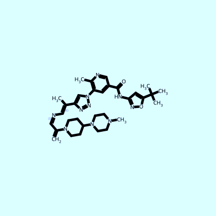 C=C(/C=N\C=C(/C)c1cn(-c2cc(C(=O)Nc3cc(C(C)(C)C)on3)cnc2C)nn1)N1CCC(N2CCN(C)CC2)CC1